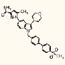 Cc1cc(C(N)=O)nn1-c1ccc2c(c1)c(C1CCOCC1)cn2Cc1ccc(-c2ccc(S(C)(=O)=O)cc2)cc1